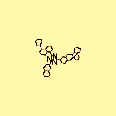 c1ccc(-c2cccc3c(-c4nc(-c5ccc6ccccc6c5)nc(-c5ccc6cc7oc8ccccc8c7cc6c5)n4)cccc23)cc1